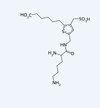 NCCCCC(N)C(=O)NCc1cc(CS(=O)(=O)O)c(CCCCCC(=O)O)s1